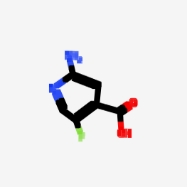 Nc1cc(C(=O)O)c(F)cn1